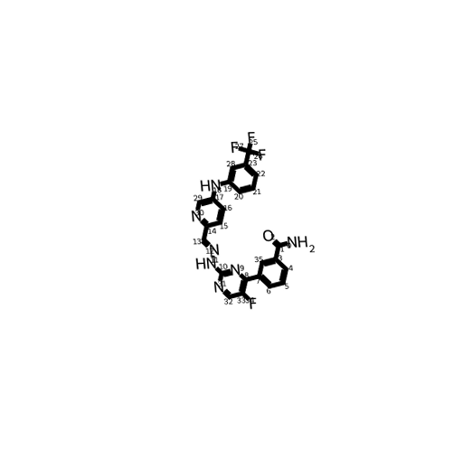 NC(=O)c1cccc(-c2nc(N/N=C/c3ccc(Nc4cccc(C(F)(F)F)c4)cn3)ncc2F)c1